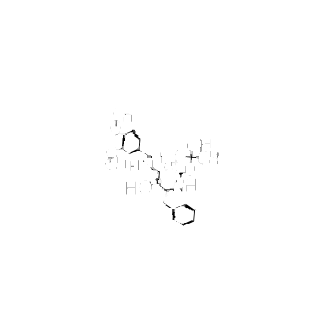 COc1ccc(CNC[C@H](O)[C@H](Cc2ccccc2)NC(=O)OC(C)(C)C)cc1OC